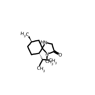 CC(C)[C@@H]1CC[C@@H](C)CC12NCC(=O)N2C